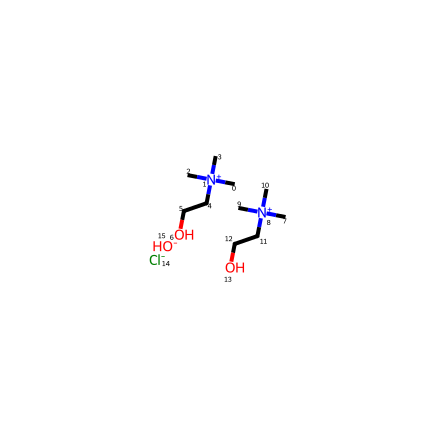 C[N+](C)(C)CCO.C[N+](C)(C)CCO.[Cl-].[OH-]